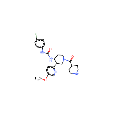 COc1ccc([C@@H]2CN(C(=O)C3CCNCC3)CC[C@H]2NC(=O)Nc2ccc(Cl)cc2)nc1